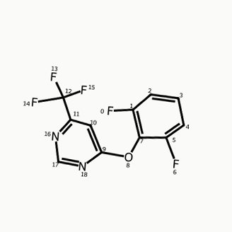 Fc1cccc(F)c1Oc1cc(C(F)(F)F)ncn1